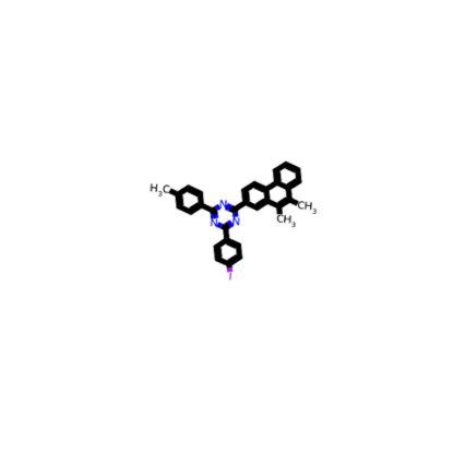 Cc1ccc(-c2nc(-c3ccc(I)cc3)nc(-c3ccc4c(c3)c(C)c(C)c3ccccc34)n2)cc1